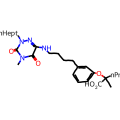 CCCCCCCn1nc(NCCCCc2cccc(OC(C)(CCC)C(=O)O)c2)c(=O)n(C)c1=O